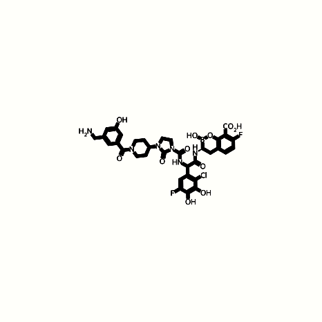 NCc1cc(O)cc(C(=O)N2CCC(N3CCN(C(=O)NC(C(=O)N[C@H]4Cc5ccc(F)c(C(=O)O)c5OB4O)c4cc(F)c(O)c(O)c4Cl)C3=O)CC2)c1